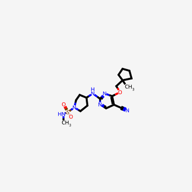 CNS(=O)(=O)N1CCC(Nc2ncc(C#N)c(OCC3(C)CCCC3)n2)CC1